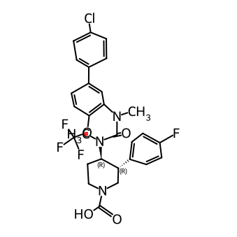 CN(C(=O)N(C)[C@@H]1CCN(C(=O)O)C[C@H]1c1ccc(F)cc1)c1cc(-c2ccc(Cl)cc2)ccc1OC(F)(F)F